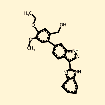 CCOc1cc(CO)c(-c2ccc3c(-c4nc5ccccc5[nH]4)n[nH]c3c2)cc1OC